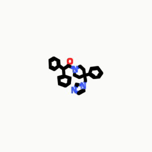 O=C(C(c1ccccc1)c1ccccc1)N1CCC(Cn2ccnc2)(c2ccccc2)CC1